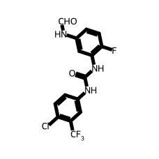 O=CNc1ccc(F)c(NC(=O)Nc2ccc(Cl)c(C(F)(F)F)c2)c1